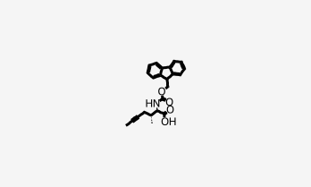 CC#CC[C@@H](C)[C@H](NC(=O)OCC1c2ccccc2-c2ccccc21)C(=O)O